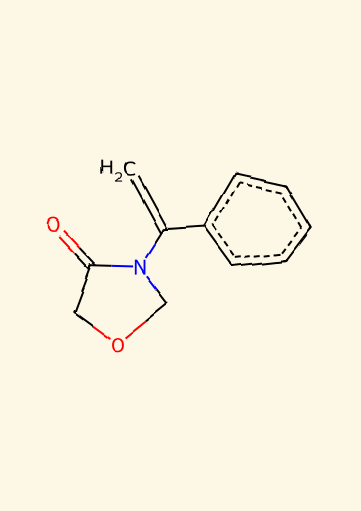 C=C(c1ccccc1)N1COCC1=O